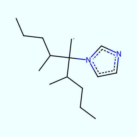 [CH2]C(C(C)CCC)(C(C)CCC)n1ccnc1